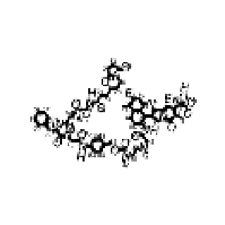 CC[C@@]1(O)C(=O)OCc2c1cc1n(c2=O)Cc2c-1nc1cc(F)c(C)c3c1c2[C@@H](NC(=O)CN(C)CCN(C)C(=O)OCc1ccc(NC(=O)CNC(=O)[C@H](Cc2ccccc2)NC(=O)CNC(=O)CNC(=O)CCCCCN2C(=O)C=CC2=O)cc1)CC3